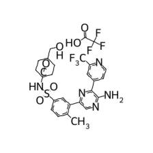 Cc1ccc(S(=O)(=O)NC23CCC(CO)(CC2)OC3)cc1-c1cnc(N)c(-c2ccnc(C(F)(F)F)c2)n1.O=C(O)C(F)(F)F